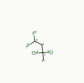 [CH2]C(Cl)(Cl)CC(F)F